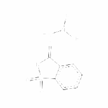 CC(=O)N(C)C.O=C1NS(=O)(=O)c2ccccc21